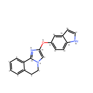 c1ccc2c(c1)CCn1cc(Oc3ccc4[nH]ccc4c3)nc1-2